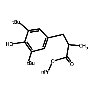 CCCOC(=O)C(C)Cc1cc(C(C)(C)C)c(O)c(C(C)(C)C)c1